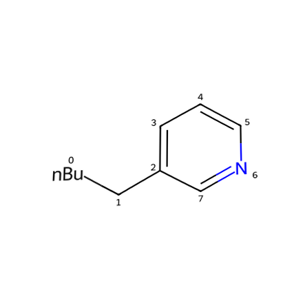 C[CH]CCCc1cccnc1